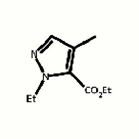 CCOC(=O)c1c(C)cnn1CC